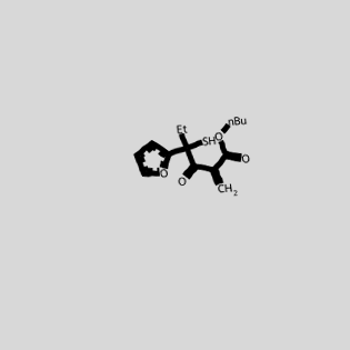 C=C(C(=O)OCCCC)C(=O)C(S)(CC)c1ccco1